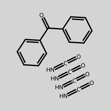 N=C=O.N=C=O.N=C=O.N=C=O.O=C(c1ccccc1)c1ccccc1